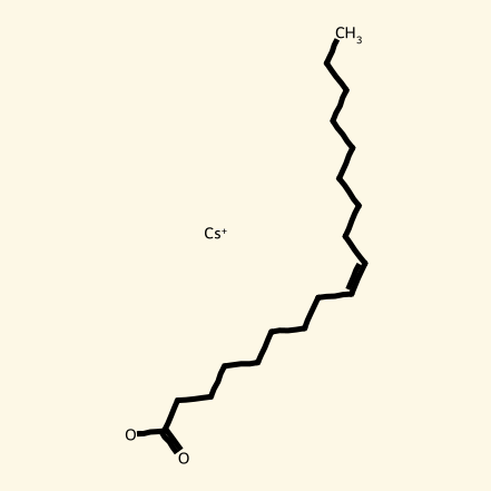 CCCCCCCC/C=C\CCCCCCCC(=O)[O-].[Cs+]